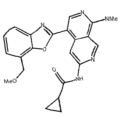 CNc1ncc(-c2nc3cccc(COC)c3o2)c2cc(NC(=O)C3CC3)ncc12